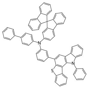 c1ccc(-c2ccc(N(c3cccc(-c4cc5c6ccccc6n(-c6ccccc6)c5c5c4sc4ccccc45)c3)c3ccc4c(c3)C3(c5ccccc5-c5ccccc53)c3ccccc3-4)cc2)cc1